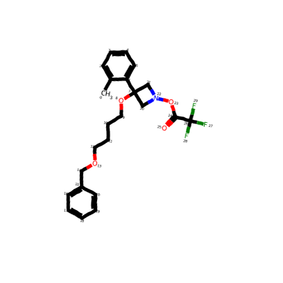 Cc1ccccc1C1(OCCCCOCc2ccccc2)CN(OC(=O)C(F)(F)F)C1